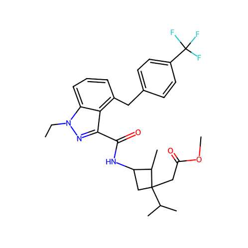 CCn1nc(C(=O)NC2CC(CC(=O)OC)(C(C)C)C2C)c2c(Cc3ccc(C(F)(F)F)cc3)cccc21